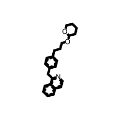 c1ccc2c(Cc3ccc(CCCOC4CCCCO4)cc3)nccc2c1